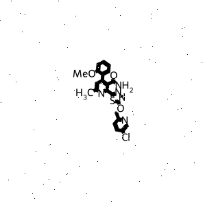 COc1ccccc1-c1cc(C)nc(-c2nnc(OCc3ccc(Cl)cn3)s2)c1C(N)=O